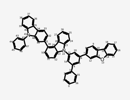 c1ccc(-c2cc(-c3ccc4c(c3)oc3ccccc34)cc(-n3c4ccccc4c4c(-c5ccc6c7ccccc7n(-c7ccccc7)c6c5)cccc43)c2)cc1